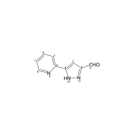 O=Cc1cc(-c2ccccn2)[nH]n1